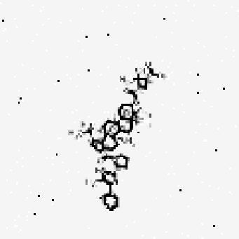 C=C(C)[C@@H]1CC[C@]2(C(=O)N3CCC[C@H]3c3nc(-c4ccccc4)c(C)[nH]3)CC[C@]3(C)[C@H](CC[C@@H]4C5(C)CC[C@H](OC(=O)[C@H]6C[C@@H](C(=O)O)C6(C)C)C(C)(C)[C@@H]5CC[C@]43C)[C@@H]12